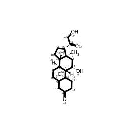 C[C@]12C[C@H](O)[C@H]3[C@@H](CCC4CC(=O)CC[C@@]43C)[C@@H]1CC[C@@H]2C(=O)CO